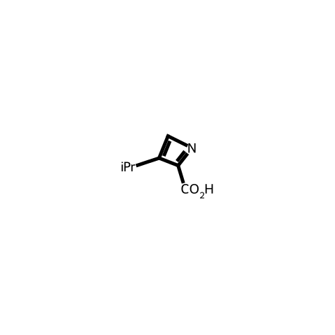 CC(C)C1=CN=C1C(=O)O